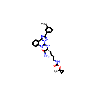 COc1cccc(-c2nc3c4ccccc4nc(N[C@@H](CCCCNC(=O)OC4(C)CC4)C(N)=O)n3n2)c1